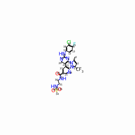 Cc1cc(C(F)(F)F)nn1-c1nc(Nc2ccc(F)c(Cl)c2)ncc1-c1cncc(C(=O)NCCNS(C)(=O)=O)c1